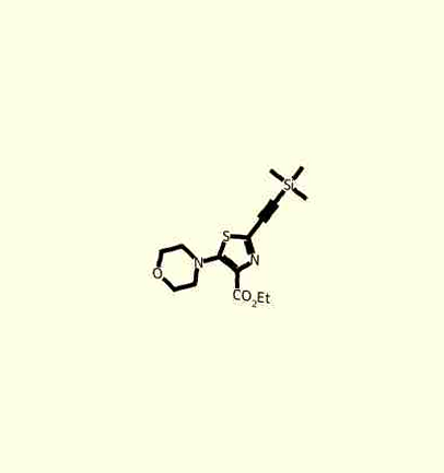 CCOC(=O)c1nc(C#C[Si](C)(C)C)sc1N1CCOCC1